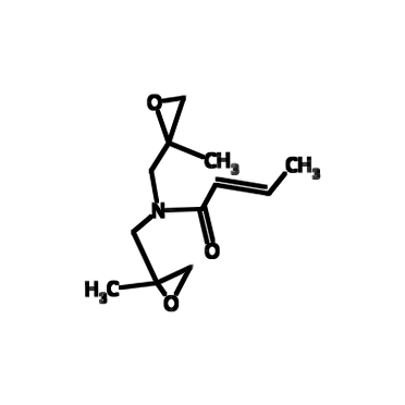 C/C=C/C(=O)N(CC1(C)CO1)CC1(C)CO1